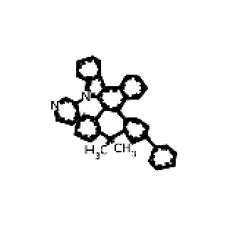 CC1(C)c2cc(-c3ccccc3)ccc2-c2c(c3c(c4ccccc24)c2ccccc2n3-c2cccnc2)-c2ccccc21